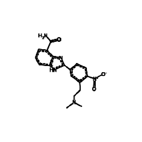 CN(C)CCc1cc(-c2nc3c(C(N)=O)cccc3[nH]2)ccc1[N+](=O)[O-]